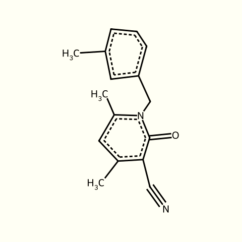 Cc1cccc(Cn2c(C)cc(C)c(C#N)c2=O)c1